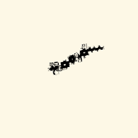 CCCCCCc1ccc(C(=O)Oc2ccc(-c3ccc(OC(=O)C(Cl)C(C)C)cc3)cc2)cc1Cl